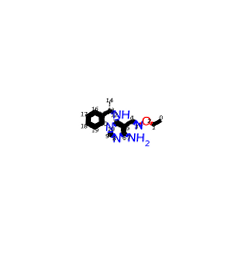 CCON=Cc1c(N)ncnc1N[C@@H](C)c1ccccc1